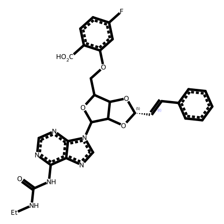 CCNC(=O)Nc1ncnc2c1ncn2C1OC(COc2cc(F)ccc2C(=O)O)C2O[C@H](/C=C/c3ccccc3)OC21